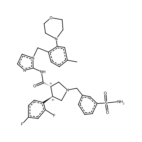 Cc1ccc(Cn2ccnc2NC(=O)[C@@H]2CN(Cc3cccc(S(N)(=O)=O)c3)C[C@H]2c2ccc(F)cc2F)c(N2CCOCC2)c1